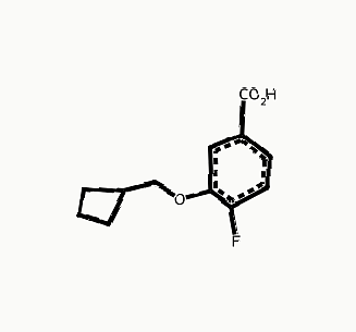 O=C(O)c1ccc(F)c(OCC2CCC2)c1